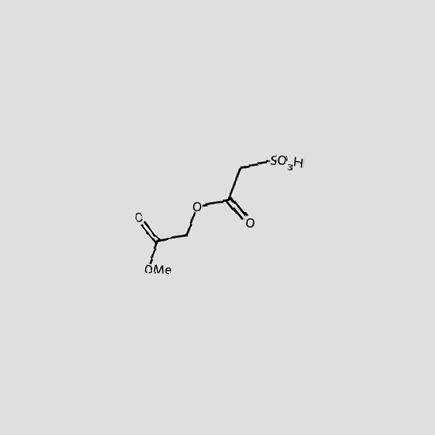 COC(=O)COC(=O)CS(=O)(=O)O